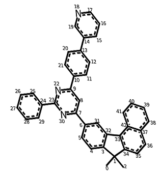 CC1(C)c2ccc(-c3cc(-c4ccc(-c5cccnc5)cc4)nc(-c4ccccc4)n3)cc2-c2c1ccc1ccccc21